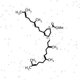 C=C(CC/C=C(\C)CCC=C(C)C)CC[C@@H]1C=C(CC/C=C(\C)CCC=C(C)C)C[C@H](C(=O)OC)C1